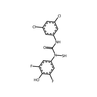 O=C(Nc1cc(Cl)cc(Cl)c1)N(S)c1cc(F)c(O)c(F)c1